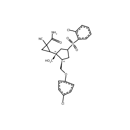 N#CC1(C(N)=O)CC1[C@]1(C(=O)O)CC(S(=O)(=O)c2ccccc2Cl)C[C@H]1COc1ccc(Cl)cc1